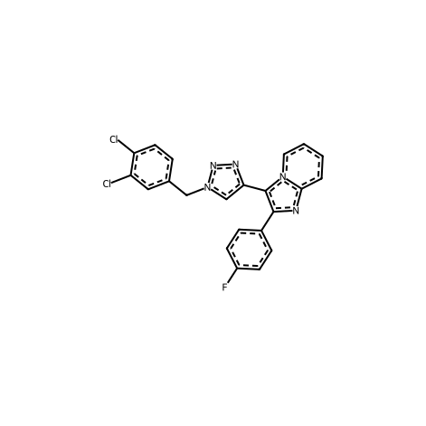 Fc1ccc(-c2nc3ccccn3c2-c2cn(Cc3ccc(Cl)c(Cl)c3)nn2)cc1